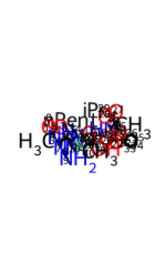 CCCCCOC(=O)N(C)c1nc(N)nc2c1ncn2[C@@H]1O[C@H](CO[P@@](=O)(N[C@@H](C)C(=O)OC(C)C)Oc2ccccc2)[C@@H](O)[C@@]1(C)F